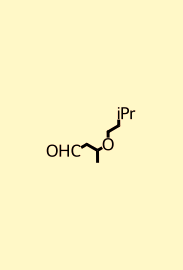 CC(C)CCOC(C)CC=O